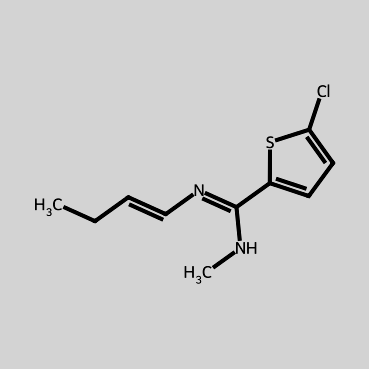 CC/C=C/N=C(\NC)c1ccc(Cl)s1